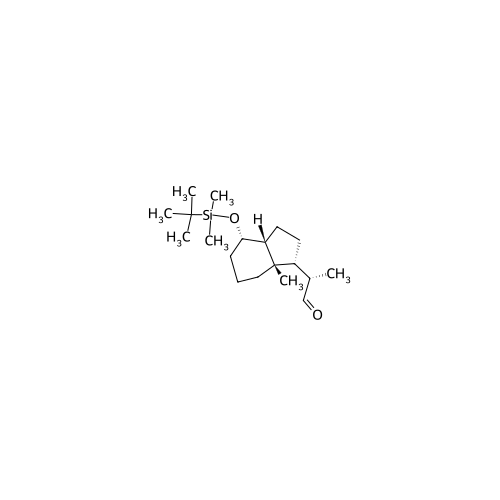 C[C@H](C=O)[C@H]1CC[C@H]2[C@@H](O[Si](C)(C)C(C)(C)C)CCC[C@@]12C